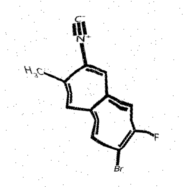 [C-]#[N+]c1cc2cc(F)c(Br)cc2cc1C